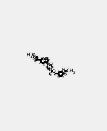 Cc1nc2cc(COC(=O)N3CCN(c4cnn5cc(-c6cnn(C)c6)ccc45)CC3)ccc2s1